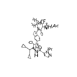 [2H]C([2H])([2H])N(C(=O)C(NC(C)=O)C(F)(F)F)[C@@H]1CCc2cc(NC(=O)[C@@H](NC(=O)c3ccnn3C(C)C)C(C3CC3)C3CC3)ccc21